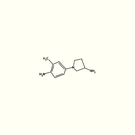 Cc1cc(N2CCC(N)C2)ccc1N